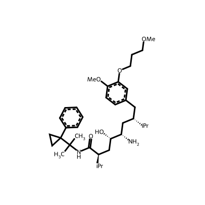 COCCCOc1cc(C[C@@H](C[C@H](N)[C@@H](O)C[C@H](C(=O)NC(C)(C)C2(c3ccccc3)CC2)C(C)C)C(C)C)ccc1OC